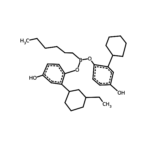 CCCCCCB(Oc1ccc(O)cc1C1CCCCC1)Oc1ccc(O)cc1C1CCCC(CC)C1